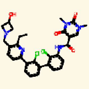 CCc1nc(-c2cccc(-c3cccc(NC(=O)c4cn(C)c(=O)n(C)c4=O)c3Cl)c2Cl)ccc1CN1CC(O)C1